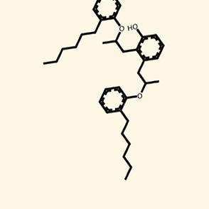 CCCCCCc1ccccc1OC(C)Cc1cccc(O)c1CC(C)Oc1ccccc1CCCCCC